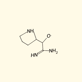 N=C(N)C([O])C1CCCNC1